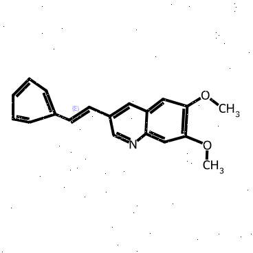 COc1cc2cc(/C=C/c3ccccc3)cnc2cc1OC